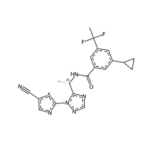 C[C@H](NC(=O)c1cc(C2CC2)cc(C(C)(F)F)c1)c1ncnn1-c1ncc(C#N)s1